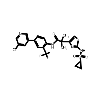 CC(C)(C(=O)Nc1ccc(-c2cncc(Cl)c2)cc1C(F)(F)F)c1csc(NS(=O)(=O)C2CC2)n1